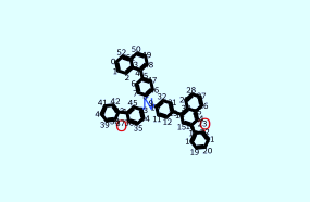 c1ccc2c(-c3ccc(N(c4ccc(-c5cc6c7ccccc7oc6c6ccccc56)cc4)c4ccc5oc6ccccc6c5c4)cc3)cccc2c1